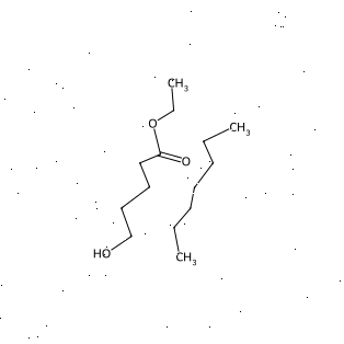 CCCCCCC.CCOC(=O)CCCCO